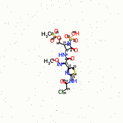 CON=C(C(=O)NC1C(=O)N(S(=O)(=O)O)C1COS(C)(=O)=O)c1csc(NC(=O)CCl)n1